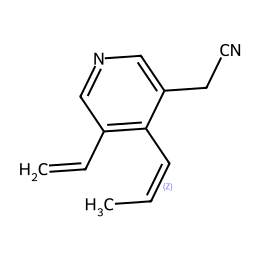 C=Cc1cncc(CC#N)c1/C=C\C